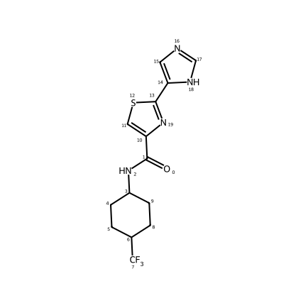 O=C(NC1CCC(C(F)(F)F)CC1)c1csc(-c2cnc[nH]2)n1